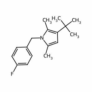 Cc1cc(C(C)(C)C)c(C)n1Cc1ccc(F)cc1